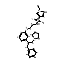 Cn1cc(S(=O)(=O)NCCOc2cccc(C(Cc3ccccc3)CN3CCCC3)c2)cn1